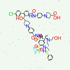 CN(CCO)CC[C@H](CSc1ccccc1)Nc1ccc(S(=O)(=O)NC(=O)c2ccc(N3CCC([C@H](O)c4cc(C(=O)Nc5ccc(N6CCC(C(=O)O)CC6)cc5)ccc4-c4ccc(Cl)cc4)CC3)cc2)cc1S(=O)(=O)C(F)(F)F